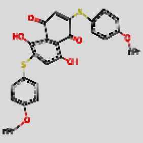 CCCOc1ccc(SC2=CC(=O)c3c(O)c(Sc4ccc(OCCC)cc4)cc(O)c3C2=O)cc1